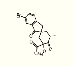 CCC1(C(=O)OC)CC2(Cc3ccc(Br)cc3C2=O)CC(C)C1=O